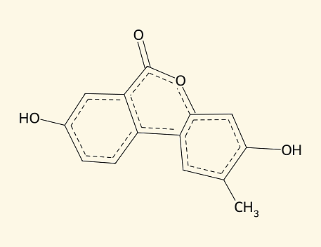 Cc1cc2c(cc1O)oc(=O)c1cc(O)ccc12